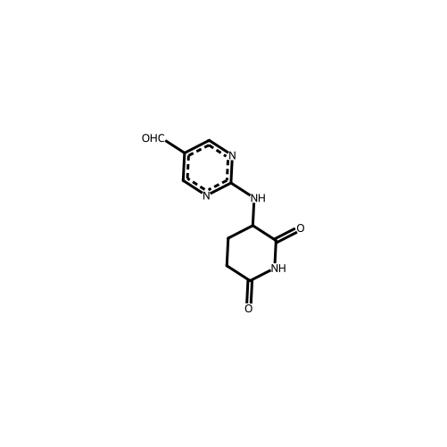 O=Cc1cnc(NC2CCC(=O)NC2=O)nc1